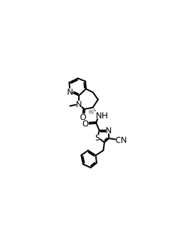 CN1C(=O)[C@@H](NC(=O)c2nc(C#N)c(Cc3ccccc3)s2)CCc2cccnc21